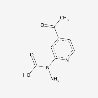 CC(=O)c1ccnc(N(N)C(=O)O)c1